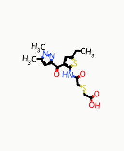 CCc1cc(C(=O)c2cc(C)n(C)n2)c(NC(=O)CSCC(=O)O)s1